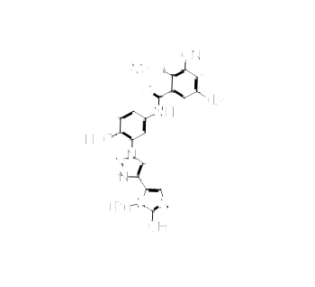 COc1c(C#N)cc(C(C)(C)C)cc1C(=O)Nc1ccc(C)c(-n2cc(-c3cnc(C)n3C(C)(C)C)nn2)c1